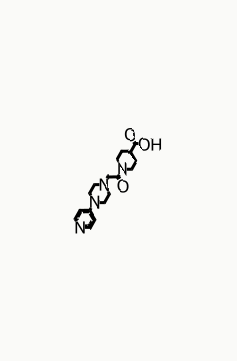 O=C(O)C1CCN(C(=O)CN2CCN(c3ccncc3)CC2)CC1